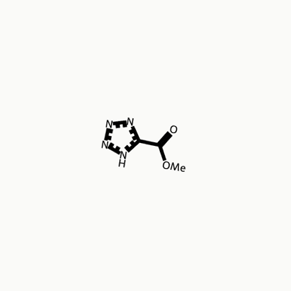 COC(=O)c1nnn[nH]1